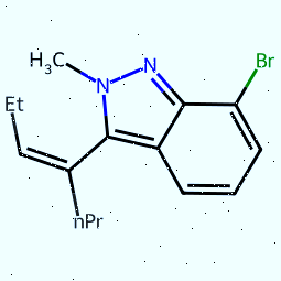 CC/C=C(/CCC)c1c2cccc(Br)c2nn1C